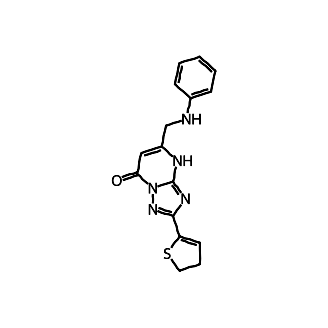 O=c1cc(CNc2ccccc2)[nH]c2nc(C3=CCCS3)nn12